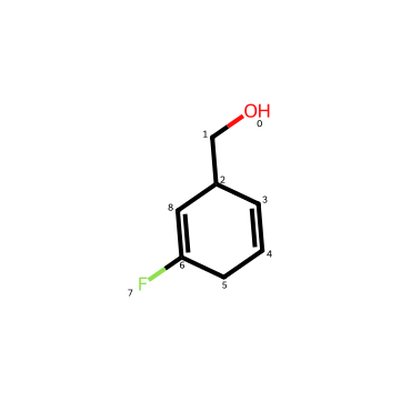 OCC1C=CCC(F)=C1